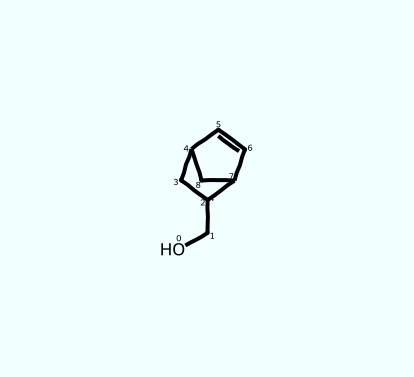 OC[C]1CC2C=CC1C2